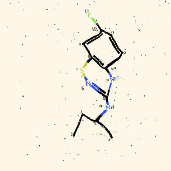 CCC(C)NC1=NSc2cc(F)ccc2N1